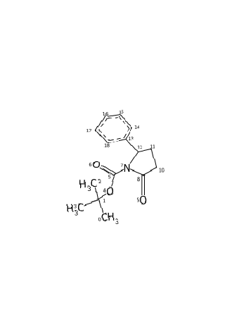 CC(C)(C)OC(=O)N1C(=O)CCC1c1ccccc1